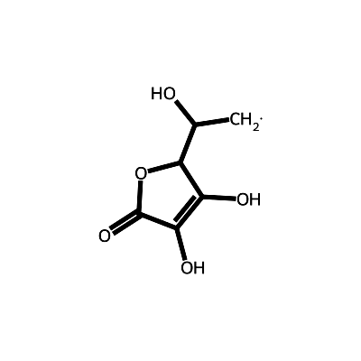 [CH2]C(O)C1OC(=O)C(O)=C1O